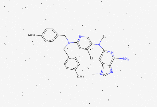 CCc1cc(N(Cc2ccc(OC)cc2)Cc2ccc(OC)cc2)ncc1N(CC)c1cc2c(ncn2C)c(N)n1